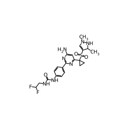 CC1NN(C)C=C1S(=O)(=O)C1(c2cc(N)nc(-c3ccc(NC(=O)NCC(F)F)cc3)n2)CC1